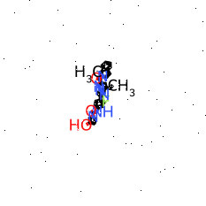 CCc1cc(C(=O)N2CCc3ccccc3[C@H]2C)nn2cc(-c3ccc(NC(=O)N4CCC(O)C4)cc3F)nc12